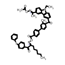 CCCCCC/C(=N\OC(=O)c1ccc(-c2ccc(C(=O)c3ccc4c(c3)c3cc(/C(C)=N/OC(C)=O)ccc3n4CC)c(C)c2)cc1)C(=O)c1ccc(Sc2ccccc2)cc1